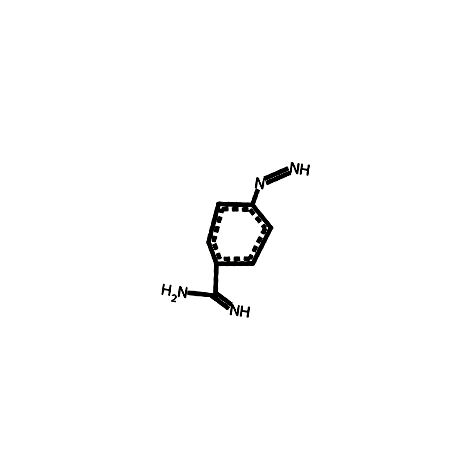 N=Nc1ccc(C(=N)N)cc1